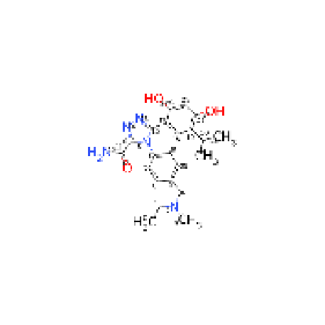 CCN(C)Cc1ccc(-n2c(C(N)=O)nnc2-c2cc(C(C)C)c(O)cc2O)cc1